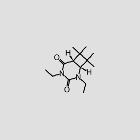 CCN1C(=O)[C@H]2[C@@H](N(CC)C1=O)C(C)(C)C2(C)C